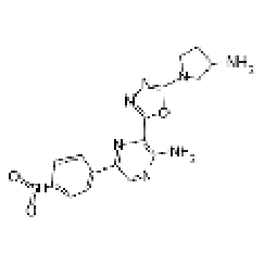 Nc1ncc(-c2ccc([SH](=O)=O)cc2)nc1-c1nnc(N2CCC(N)C2)o1